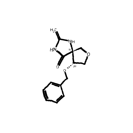 C=C1NC(=O)[C@]2(COC[C@@H]2OCc2ccccc2)N1